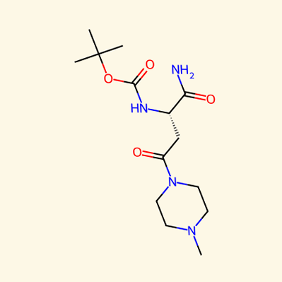 CN1CCN(C(=O)C[C@H](NC(=O)OC(C)(C)C)C(N)=O)CC1